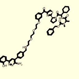 CC(C(=O)NC(C(=O)N1CCC[C@H]1c1nc(C(=O)c2cccc(OCCOCCOCCNCc3ccc(-c4cc(-c5ccccc5O)nnc4N)cc3)c2)cs1)C1CCCCC1)N(C)C(=O)OCc1ccccc1